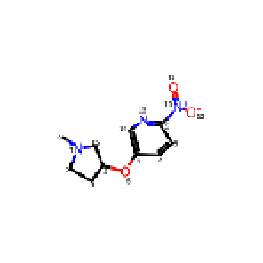 CN1CCC(Oc2ccc([N+](=O)[O-])nc2)C1